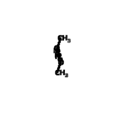 CCCCCCCCOc1ccc(-c2ccc(-c3ccc(OCCCCCCCC)nc3)nn2)cc1